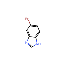 Brc1ccc2[nH][c]nc2c1